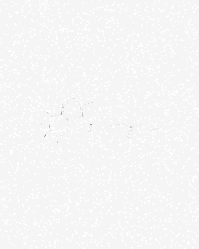 CCCC(=O)OCOC(=O)c1c(F)ccc2c1OB(O)[C@@H]1C[C@H]21